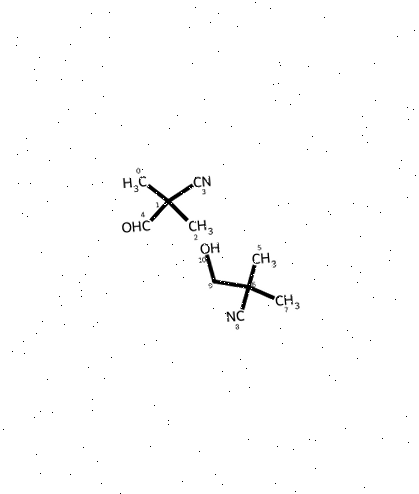 CC(C)(C#N)C=O.CC(C)(C#N)CO